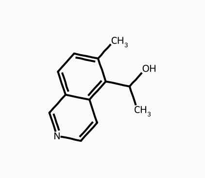 Cc1ccc2cnccc2c1C(C)O